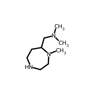 CN(C)CC1CCNCCN1C